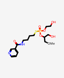 COCC(CO)OP(=O)(OCCO)SCCCCNC(=O)c1cccnc1